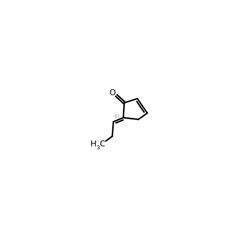 CC/C=C1\CC=CC1=O